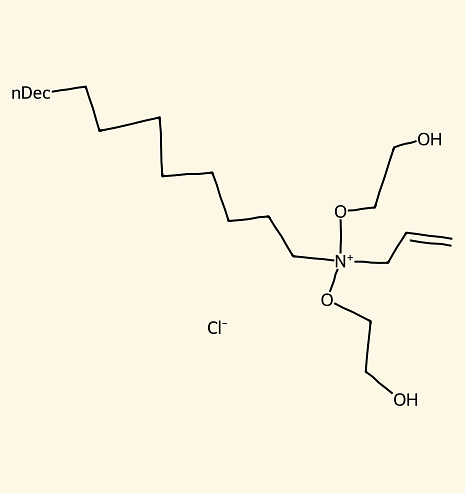 C=CC[N+](CCCCCCCCCCCCCCCCCC)(OCCO)OCCO.[Cl-]